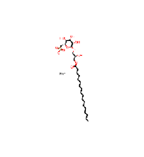 CCCCCCCCCCCCCCCCCC(=O)OCC(O)CO[C@H]1O[C@H](CS(=O)(=O)[O-])[C@@H](O)[C@H](O)[C@@H]1O.[Na+]